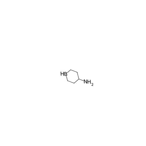 NC1CCBCC1